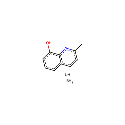 B.Cc1ccc2cccc(O)c2n1.[LiH]